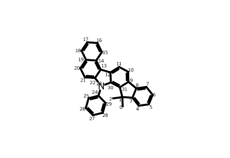 CC1(C)c2ccccc2-c2ccc3c4c5ccccc5ccc4n(-c4ccccc4)c3c21